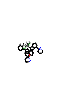 C[SiH](C)[Zr]([Cl])([Cl])([CH]1C(c2ccccc2)=Cc2c(-c3ccccn3)cccc21)[CH]1C(c2ccccc2)=Cc2c(-c3ccccn3)cccc21